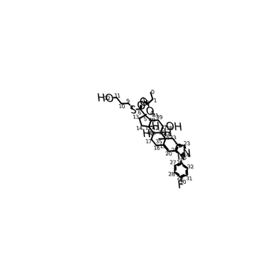 CCC(=O)O[C@]1(C(=O)SCCCO)CC[C@H]2[C@@H]3CCC4=Cc5c(cnn5-c5ccc(F)cc5)CC4(C)[C@H]3[C@@H](O)C[C@@]21C